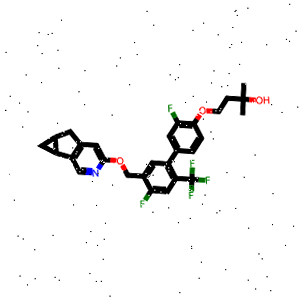 CC(C)(O)CCOc1ccc(-c2cc(COc3cc4c(cn3)C3CC3C4)c(F)cc2C(F)(F)F)cc1F